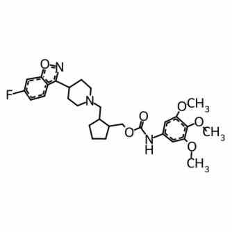 COc1cc(NC(=O)OCC2CCCC2CN2CCC(c3noc4cc(F)ccc34)CC2)cc(OC)c1OC